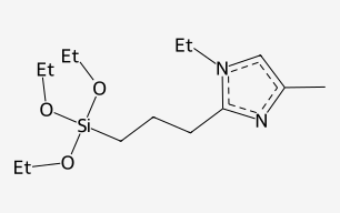 CCO[Si](CCCc1nc(C)cn1CC)(OCC)OCC